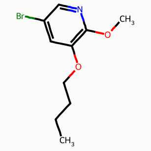 CCCCOc1cc(Br)cnc1OC